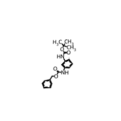 CC(C)(C)OC(=O)Nc1[c]ccc(NC(=O)OCc2ccccc2)c1